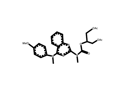 COc1ccc(N(C)c2nc(N(C)C(=O)OC(COC(C)=O)COC(C)=O)nc3ccccc23)cc1